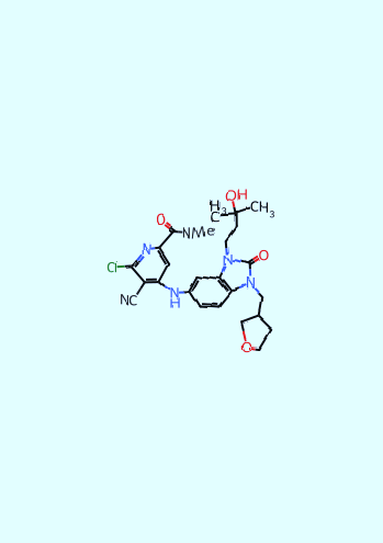 CNC(=O)c1cc(Nc2ccc3c(c2)n(CCC(C)(C)O)c(=O)n3CC2CCOC2)c(C#N)c(Cl)n1